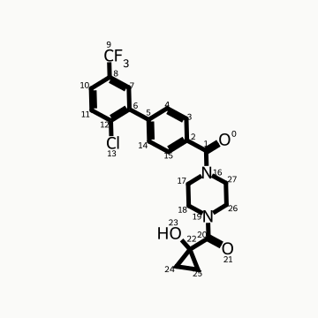 O=C(c1ccc(-c2cc(C(F)(F)F)ccc2Cl)cc1)N1CCN(C(=O)C2(O)CC2)CC1